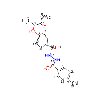 COC(=O)C(C)Oc1ccc(C(=O)NNC(=O)c2ccc(C#N)cc2)cc1